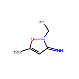 CC(C)Cn1oc(C(C)(C)C)cc1=N